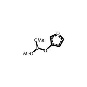 COB(OC)Oc1ccoc1